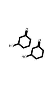 O=C1CCCC(O)C1.O=C1CCCC(O)C1